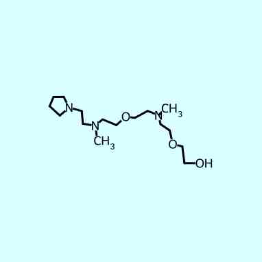 CN(CCOCCO)CCOCCN(C)CCN1CCCC1